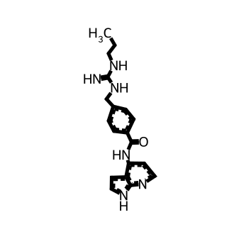 CCCNC(=N)NCc1ccc(C(=O)Nc2ccnc3[nH]ccc23)cc1